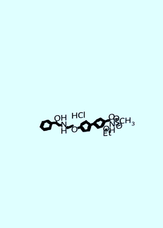 CCOc1cc(-c2ccc(OCCNC[C@H](O)c3ccccc3)cc2)ccc1C(=O)NS(C)(=O)=O.Cl